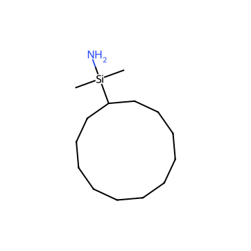 C[Si](C)(N)C1CCCCCCCCCCC1